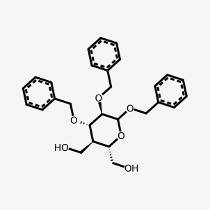 OC[C@H]1[C@H](OCc2ccccc2)[C@@H](OCc2ccccc2)C(OCc2ccccc2)O[C@@H]1CO